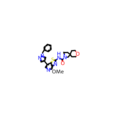 COc1ncc(-c2cnn(Cc3ccccc3)c2)c2sc(NC(=O)N3CCC4(CCOCC4)C3)nc12